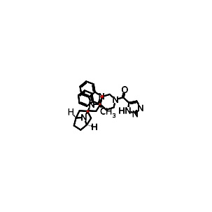 Cc1nc2ccccc2n1[C@H]1C[C@H]2CC[C@@H](C1)N2CCC1(c2ccccc2)CCN(C(=O)c2cnn[nH]2)CC1